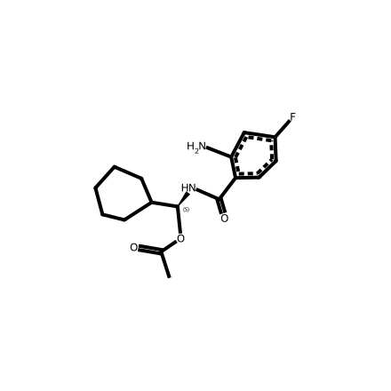 CC(=O)O[C@H](NC(=O)c1ccc(F)cc1N)C1CCCCC1